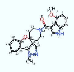 COc1cccc2[nH]cc(C(=O)N3CCC4(CC3)Oc3ccccc3-c3c4cnn3C)c12